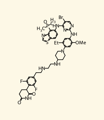 CCc1cc(Nc2ncc(Br)c(Nc3ccc4scnc4c3P(C)(C)=O)n2)c(OC)cc1N1CCC(NCCNCCc2cc(F)c(C3CCC(=O)NC3=O)c(F)c2)CC1